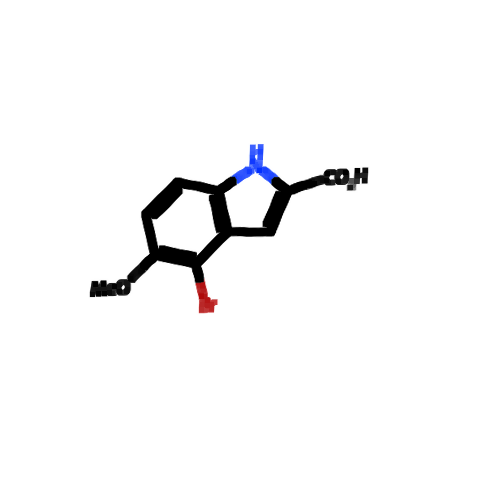 COc1ccc2[nH]c(C(=O)O)cc2c1Br